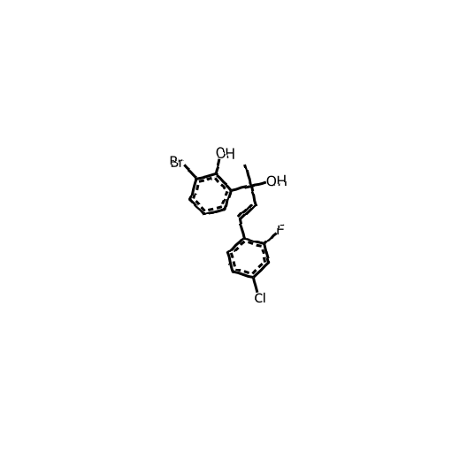 CC(O)(/C=C/c1ccc(Cl)cc1F)c1cccc(Br)c1O